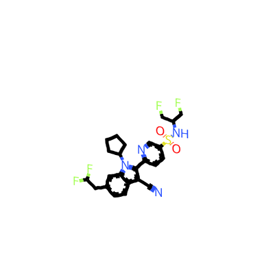 N#Cc1c(-c2ccc(S(=O)(=O)NC(CF)CF)cn2)n(C2CCCC2)c2cc(CC(F)F)ccc12